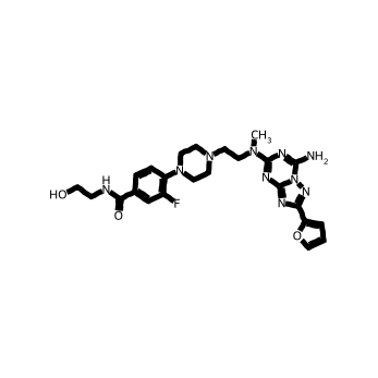 CN(CCN1CCN(c2ccc(C(=O)NCCO)cc2F)CC1)c1nc(N)n2nc(-c3ccco3)nc2n1